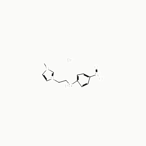 Cn1cc[n+](CCNc2ccc([N+](=O)[O-])cc2)c1.[Br-]